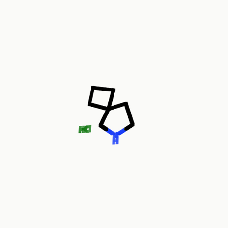 C1CC2(C1)CCNC2.Cl